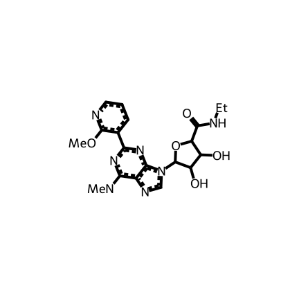 CCNC(=O)C1OC(n2cnc3c(NC)nc(-c4cccnc4OC)nc32)C(O)C1O